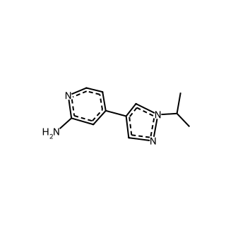 CC(C)n1cc(-c2ccnc(N)c2)cn1